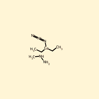 CNN.C[CH2][Ga]([CH2]C)[N]=[N+]=[N-]